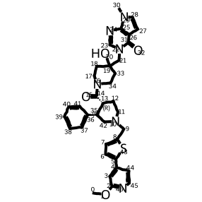 COc1cc(-c2ccc(CN3CC[C@@H](C(=O)N4CCC(O)(Cn5cnc6c(ccn6C)c5=O)CC4)[C@H](c4ccccc4)C3)s2)ccn1